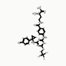 N[C@H](CCNC(=O)c1ccc(Nc2nc(NC3(c4ccc(Cl)cc4)CC3)nc(OCC(F)(F)F)n2)cc1)C(=O)O